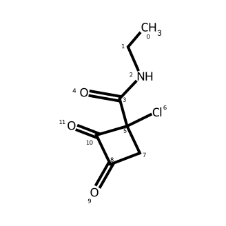 CCNC(=O)C1(Cl)CC(=O)C1=O